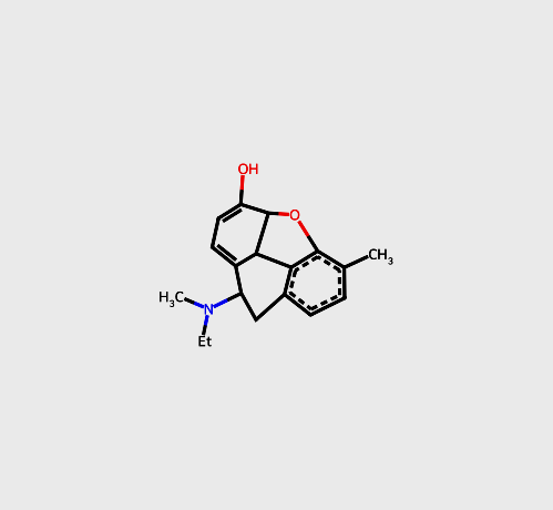 CCN(C)C1Cc2ccc(C)c3c2C2C1=CC=C(O)C2O3